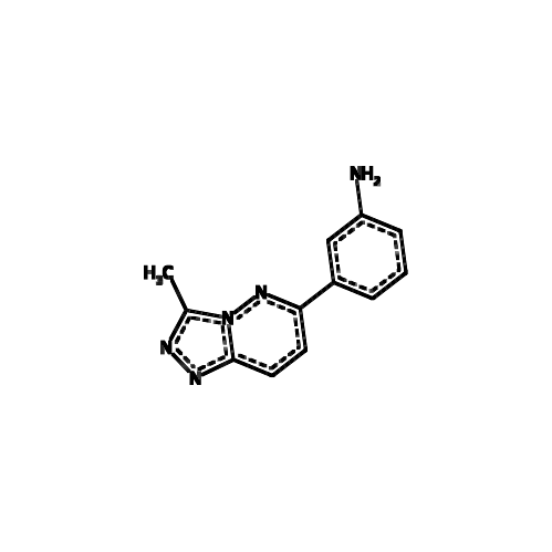 Cc1nnc2ccc(-c3cccc(N)c3)nn12